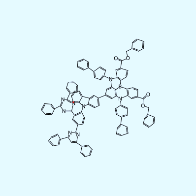 O=C(OCc1ccccc1)c1ccc2c(c1)N(c1ccc(-c3ccccc3)cc1)c1cc(-c3ccc4c(c3)c3ccccc3n4-c3ccc(-c4nc(-c5ccccc5)cc(-c5ccccc5)n4)cc3-c3nc(-c4ccccc4)nc(-c4ccccc4)n3)cc3c1B2c1ccc(C(=O)OCc2ccccc2)cc1N3c1ccc(-c2ccccc2)cc1